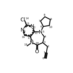 C#CCC1CN(C2CCCC2)c2nc(Cl)ncc2N(C)C1=O